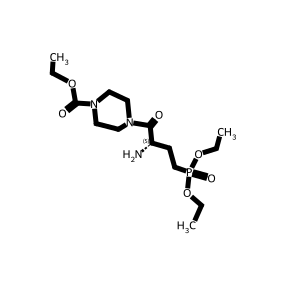 CCOC(=O)N1CCN(C(=O)[C@@H](N)CCP(=O)(OCC)OCC)CC1